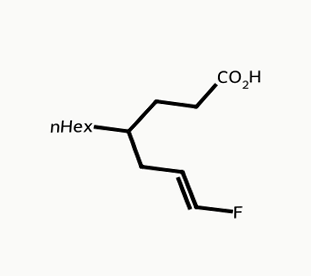 CCCCCCC(CC=CF)CCC(=O)O